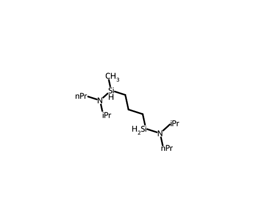 CCCN([SiH2]CCC[SiH](C)N(CCC)C(C)C)C(C)C